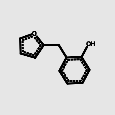 Oc1ccccc1Cc1ccco1